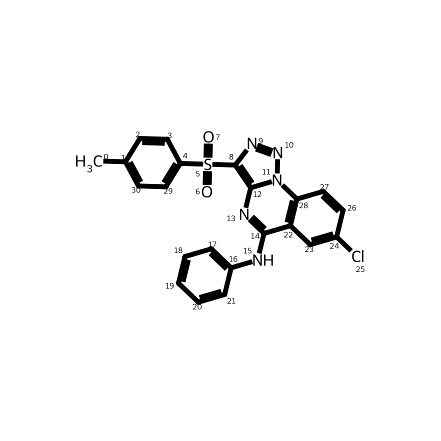 Cc1ccc(S(=O)(=O)c2nnn3c2nc(Nc2ccccc2)c2cc(Cl)ccc23)cc1